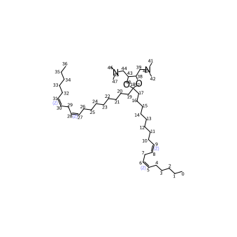 CCCCC/C=C\C/C=C\CCCCCCCCC1(CCCCCCCC/C=C\C/C=C\CCCCC)OC(CN(C)C)C(CN(C)C)O1